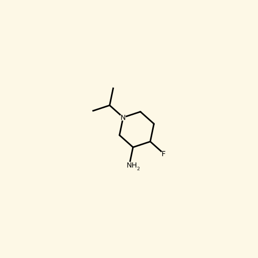 CC(C)N1CCC(F)C(N)C1